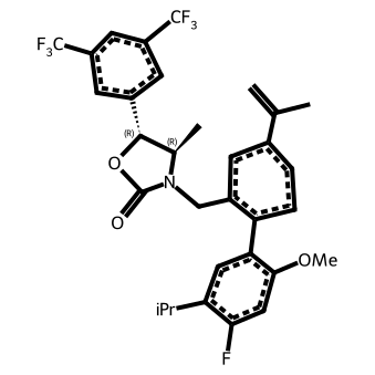 C=C(C)c1ccc(-c2cc(C(C)C)c(F)cc2OC)c(CN2C(=O)O[C@H](c3cc(C(F)(F)F)cc(C(F)(F)F)c3)[C@H]2C)c1